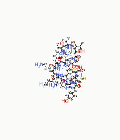 CC(C)C[C@H](NC(=O)[C@H](C)NC(=O)C[C@H](O)[C@H](CC(C)C)NC(=O)[C@@H](NC(=O)[C@@H](N)C(C)C)C(C)C)[C@@H](O)CC(=O)N[C@@H](CCCCN)C(=O)N[C@@H](CCCCN)C(=O)N[C@@H](CCCCN)C(=O)N[C@@H](CCCCN)C(=O)N[C@@H](CCCCN)C(=O)N[C@@H](Cc1ccc(O)cc1)C(=O)N[C@@H](CS)C(=O)N[C@@H](CS)C(=O)O